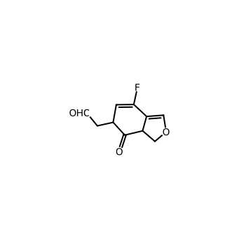 O=CCC1C=C(F)C2=COCC2C1=O